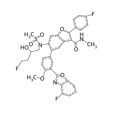 CNC(=O)c1c(-c2ccc(F)cc2)oc2cc(N(CC(O)CCF)S(C)(=O)=O)c(-c3ccc(OC)c(-c4nc5c(F)cccc5o4)c3)cc12